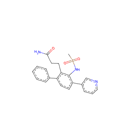 CS(=O)(=O)Nc1c(-c2cccnc2)ccc(-c2ccccc2)c1CCC(N)=O